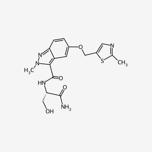 Cc1ncc(COc2ccc3nn(C)c(C(=O)N[C@@H](CO)C(N)=O)c3c2)s1